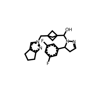 OC(N1N=CCC1c1cc(F)cc(F)c1)C12CC(Cn3cc4c(n3)CCC4)(C1)C2